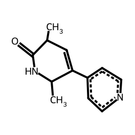 CC1C=C(c2ccncc2)C(C)NC1=O